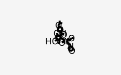 CCc1c(O)cc(O)c(C(=O)c2ccc(OC(C)C)cc2)c1CC(=O)N(CCOC)CCN1CCOCC1